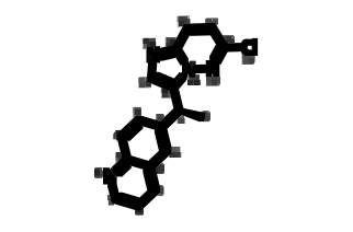 C[C@@H](c1ccc2ncccc2c1)c1cnc2ccc(Cl)nn12